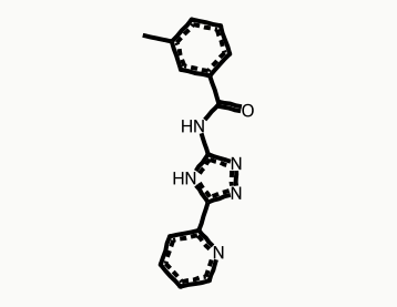 Cc1cccc(C(=O)Nc2nnc(-c3ccccn3)[nH]2)c1